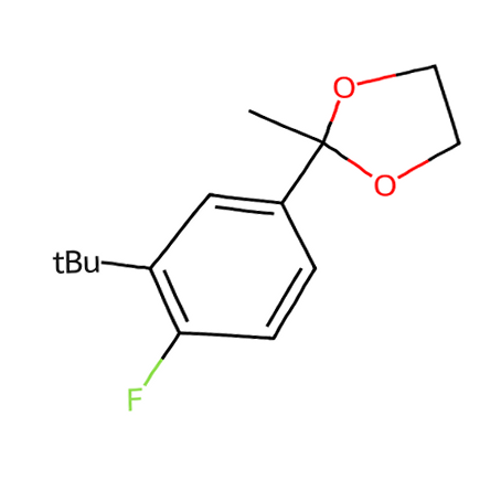 CC(C)(C)c1cc(C2(C)OCCO2)ccc1F